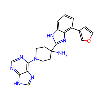 NC1(c2nc3c(-c4ccoc4)cccc3[nH]2)CCN(c2ncnc3[nH]cnc23)CC1